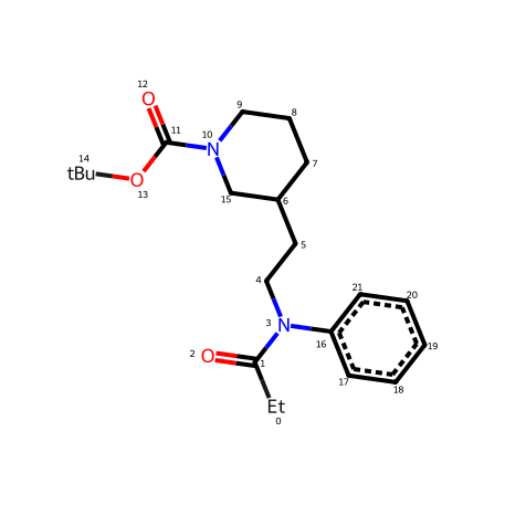 CCC(=O)N(CCC1CCCN(C(=O)OC(C)(C)C)C1)c1ccccc1